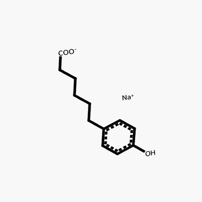 O=C([O-])CCCCCc1ccc(O)cc1.[Na+]